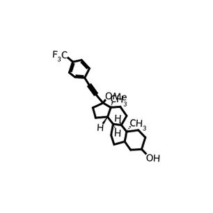 COC1(C#Cc2ccc(C(F)(F)F)cc2)CC[C@H]2[C@@H]3CCC4CC(O)CC[C@]4(C)[C@@H]3CC[C@@]21C